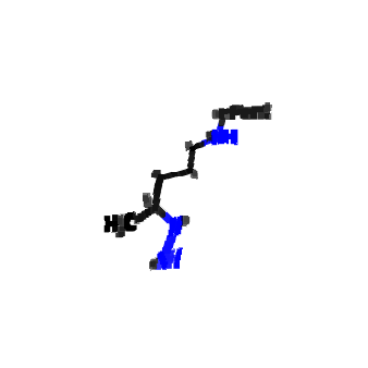 CCCCCNCCCC(C)N=N